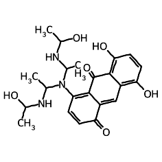 CC(O)NC(C)N(C1=C2C(=O)c3c(O)ccc(O)c3C=C2C(=O)C=C1)C(C)NC(C)O